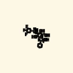 CC(C)(O)C(S[C@@H]1O[C@H](CO)[C@H](O)[C@H](n2cc(-c3cc(F)c(F)c(F)c3)nn2)[C@H]1O)c1ccccc1